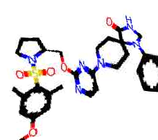 COc1cc(C)c(S(=O)(=O)N2CCC[C@H]2COc2nccc(N3CCC4(CC3)C(=O)NCN4c3ccccc3)n2)c(C)c1